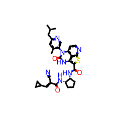 Cc1cc(CC(C)C)ncc1N1C(=O)Nc2c(C(=O)N[C@H]3CCC[C@@H]3NC(=O)/C(C#N)=C/C3CC3)sc3nccc1c23